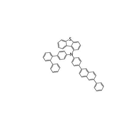 c1ccc(-c2ccc3cc(-c4ccc(N(c5ccc(-c6ccccc6-c6ccccc6)cc5)c5cccc6sc7ccccc7c56)cc4)ccc3c2)cc1